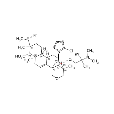 CC(C)[C@@H](C)[C@@]1(C)CC[C@]2(C)[C@H]3CC[C@@H]4[C@@]5(COC[C@]4(C)[C@@H](OCC(C)(C(C)C)N(C)C)[C@H](n4ncnc4Cl)C5)C3=CC[C@@]2(C)[C@@H]1C(=O)O